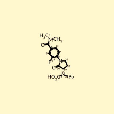 CN(C)C(=O)c1ccc(N2CC[C@H](N(C(=O)O)C(C)(C)C)C2=O)c(F)c1